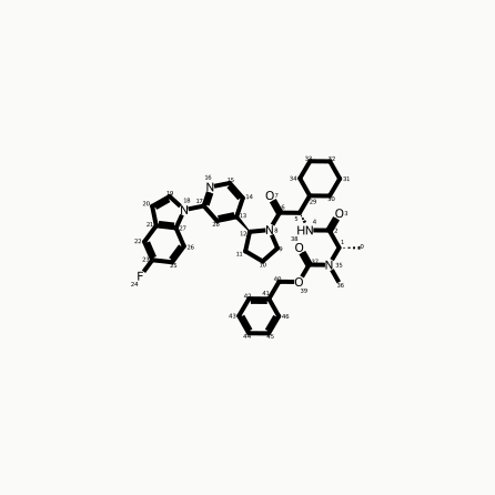 C[C@@H](C(=O)N[C@H](C(=O)N1CCC[C@H]1c1ccnc(-n2ccc3cc(F)ccc32)c1)C1CCCCC1)N(C)C(=O)OCc1ccccc1